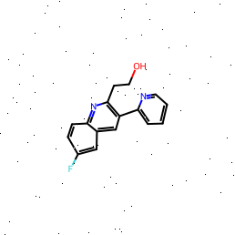 OCCc1nc2ccc(F)cc2cc1-c1ccccn1